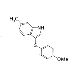 COc1ccc(Sc2c[nH]c3cc(C)ccc23)cc1